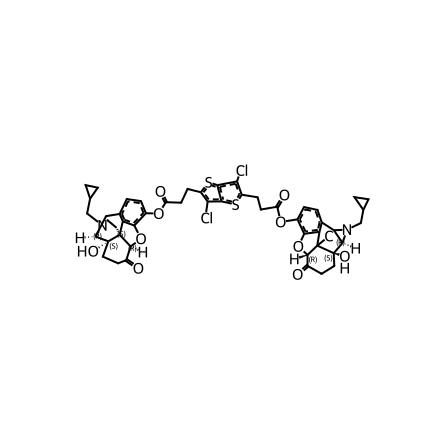 O=C(CCc1sc2c(Cl)c(CCC(=O)Oc3ccc4c5c3O[C@H]3C(=O)CC[C@@]6(O)[C@@H](C4)N(CC4CC4)CC[C@]536)sc2c1Cl)Oc1ccc2c3c1O[C@H]1C(=O)CC[C@@]4(O)[C@@H]5N(CC6CC6)C25CC314